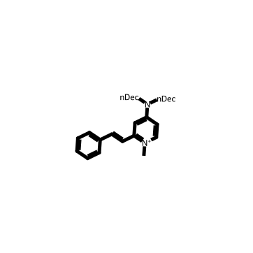 CCCCCCCCCCN(CCCCCCCCCC)c1cc[n+](C)c(C=Cc2ccccc2)c1